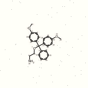 COc1ccc(C(OCCN)(c2ccccc2)c2ccc(OC)cc2)cc1